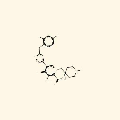 CC(=O)N1CCC2(CC1)Cn1cc(-c3nnc(Cc4ccc(F)cc4F)s3)c(=O)c(O)c1C(=O)N2